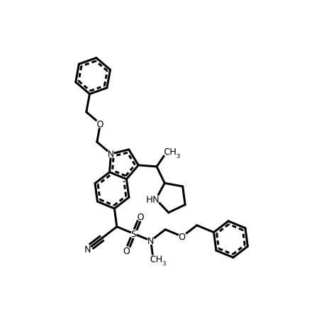 CC(c1cn(COCc2ccccc2)c2ccc(C(C#N)S(=O)(=O)N(C)COCc3ccccc3)cc12)C1CCCN1